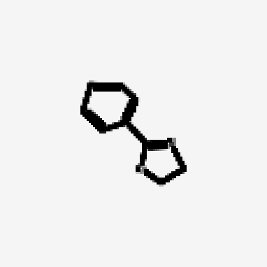 [c]1ccccc1C1=NCCO1